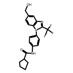 O=C(Nc1ccc(-n2c(C(F)(F)F)nc3cc(CO)ccc32)cc1)C1CCCC1